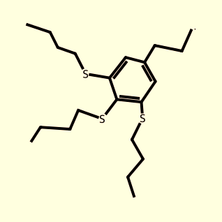 [CH2]CCc1cc(SCCCC)c(SCCCC)c(SCCCC)c1